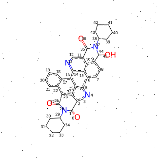 O=C1c2cnc3c4ccc5c6c(cnc(c64)c4c6ccccc6c(c2c34)C(=O)N1C1CCCCC1)C(=O)N(C1CCCCC1)C5O